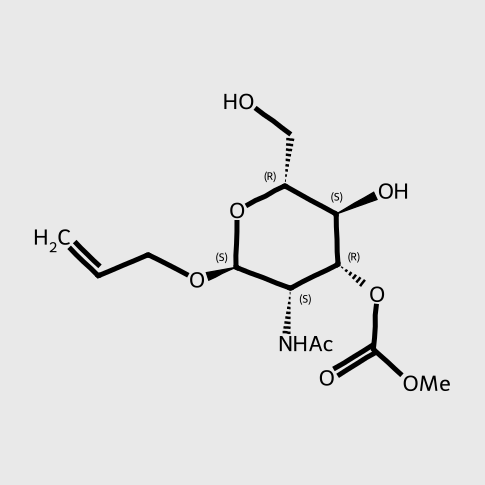 C=CCO[C@H]1O[C@H](CO)[C@@H](O)[C@H](OC(=O)OC)[C@@H]1NC(C)=O